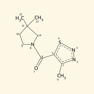 Cc1nnsc1C(=O)N1[CH]CC(C)(C)C1